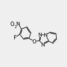 O=[N+]([O-])c1ccc(Oc2nc3ccccn3n2)cc1F